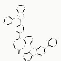 C=C1/C=C\C=C(\c2ccc(C3Nc4ccccc4N3c3ccccc3)cc2)c2cccc(-n3c4ccccc4c4ccc(-c5ccccc5)cc43)c2C1